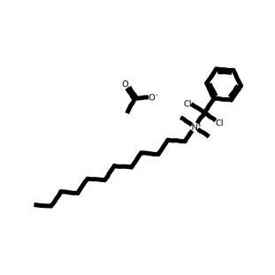 CC(=O)[O-].CCCCCCCCCCCC[N+](C)(C)C(Cl)(Cl)c1ccccc1